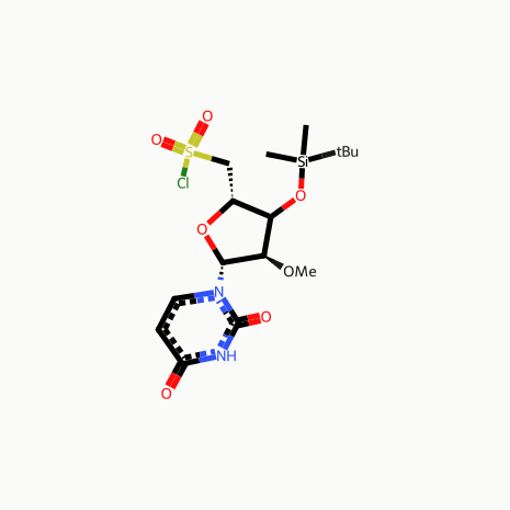 CO[C@@H]1C(O[Si](C)(C)C(C)(C)C)[C@@H](CS(=O)(=O)Cl)O[C@H]1n1ccc(=O)[nH]c1=O